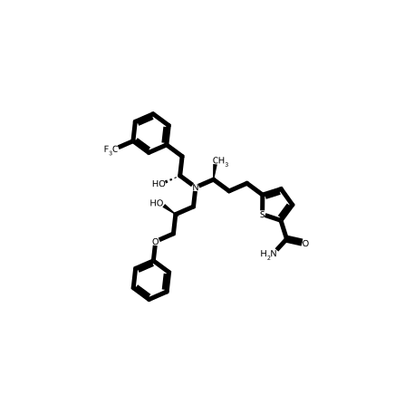 C[C@@H](CCc1ccc(C(N)=O)s1)N(C[C@H](O)COc1ccccc1)[C@H](O)Cc1cccc(C(F)(F)F)c1